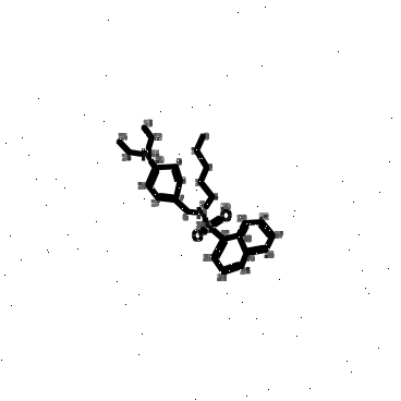 CCCCCN(Cc1ccc(N(CC)CC)cc1)S(=O)(=O)c1cccc2ccccc12